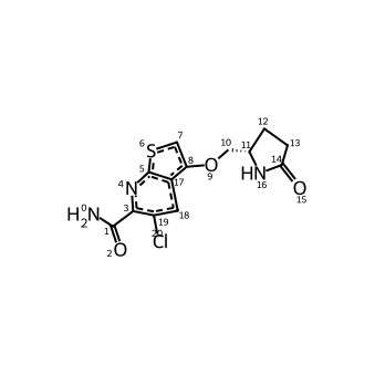 NC(=O)c1nc2scc(OC[C@@H]3CCC(=O)N3)c2cc1Cl